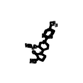 O=C(O)C1CN(c2ncc(C(F)(F)F)cn2)CCC1N1CCC(O)C1=O